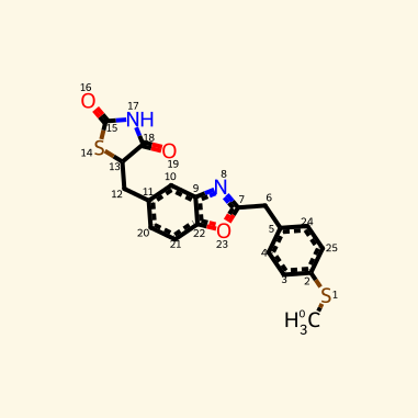 CSc1ccc(Cc2nc3cc(CC4SC(=O)NC4=O)ccc3o2)cc1